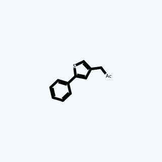 CC(=O)Cc1csc(-c2ccccc2)c1